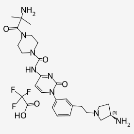 CC(C)(N)C(=O)N1CCN(C(=O)Nc2ccn(-c3cccc(CCN4CC[C@@H](N)C4)c3)c(=O)n2)CC1.O=C(O)C(F)(F)F